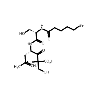 C=C(C)C[C@H](NC(=O)[C@H](CO)NC(=O)CCCCC(C)C)C(=O)C(C)(CO)C(=O)O